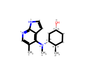 Cc1cnc2[nH]ccc2c1N(C)[C@@H]1C[C@H](O)CC[C@H]1C